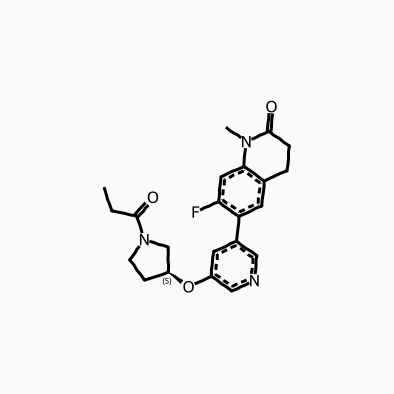 CCC(=O)N1CC[C@H](Oc2cncc(-c3cc4c(cc3F)N(C)C(=O)CC4)c2)C1